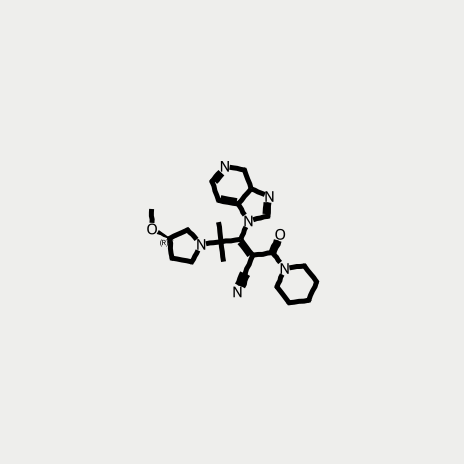 CO[C@@H]1CCN(C(C)(C)C(=C(C#N)C(=O)N2CCCCC2)N2C=NC3CN=CC=C32)C1